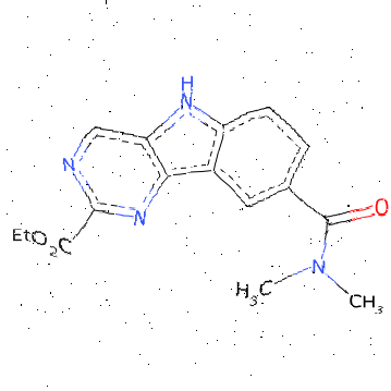 CCOC(=O)c1ncc2[nH]c3ccc(C(=O)N(C)C)cc3c2n1